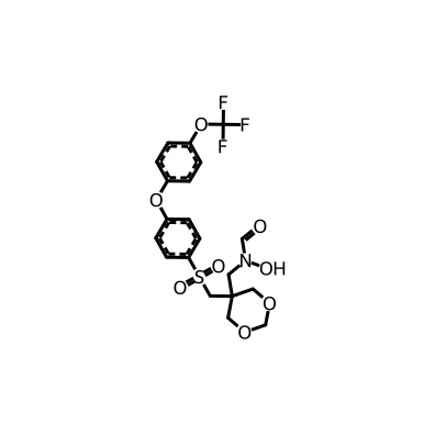 O=CN(O)CC1(CS(=O)(=O)c2ccc(Oc3ccc(OC(F)(F)F)cc3)cc2)COCOC1